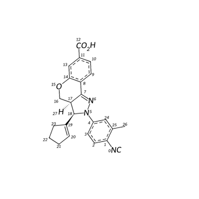 [C-]#[N+]c1ccc(N2N=C3c4ccc(C(=O)O)cc4OC[C@@H]3[C@@H]2C2=CCCC2)cc1C